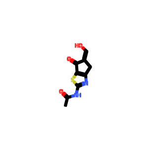 CC(=O)Nc1nc2c(s1)C(=O)/C(=C\O)C2